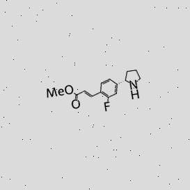 COC(=O)C=Cc1ccc([C@@H]2CCCN2)cc1F